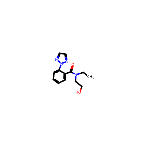 CCN(CCO)C(=O)c1ccccc1-n1nccn1